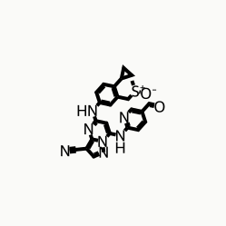 C[S+]([O-])Cc1cc(Nc2cc(Nc3ccc(C=O)cn3)n3ncc(C#N)c3n2)ccc1C1CC1